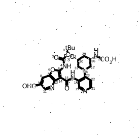 CC(C)(C)OC(=O)Nc1oc2cc(C=O)cnc2c1C(=O)Nc1cnccc1N1C[C@@H](NC(=O)O)C[C@@H](C(F)(F)F)C1